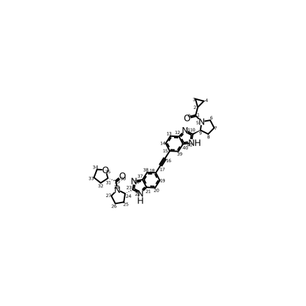 O=C(C1CC1)N1CCC[C@H]1c1nc2ccc(C#Cc3ccc4[nH]c([C@@H]5CCCN5C(=O)[C@@H]5CCCO5)nc4c3)cc2[nH]1